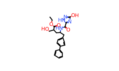 CCOC(=O)C(CO)CC(Cc1ccc(-c2ccccc2)cc1)NC(=O)c1nc(O)n[nH]1